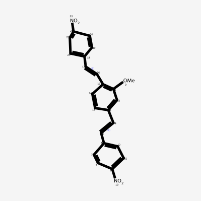 COc1cc(/C=C/c2ccc([N+](=O)[O-])cc2)ccc1/C=C/c1ccc([N+](=O)[O-])cc1